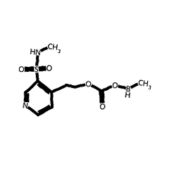 CBOC(=O)OCCc1ccncc1S(=O)(=O)NC